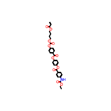 C=CC(=O)OCCCCOC(=O)Oc1ccc(C(=O)Oc2ccc(OC(=O)c3ccc(NC(=O)OCC)cc3)cc2)cc1